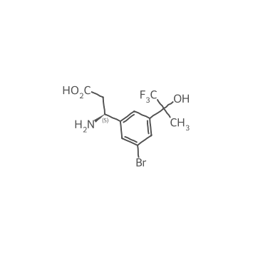 CC(O)(c1cc(Br)cc([C@@H](N)CC(=O)O)c1)C(F)(F)F